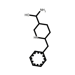 NC(O)C1CCC(Cc2ccccc2)NC1